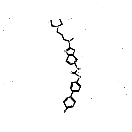 CCN(CC)CCCN(C)c1nc2ccc(NC(=O)Oc3ccc(-c4ccc(F)cc4)cc3)cc2s1